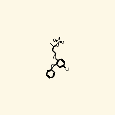 C[C@H](CCOc1ccc(Cl)cc1Oc1ccccc1)OS(C)(=O)=O